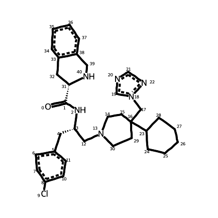 O=C(N[C@@H](Cc1ccc(Cl)cc1)CN1CCC(Cn2cncn2)(C2CCCCC2)CC1)[C@@H]1Cc2ccccc2CN1